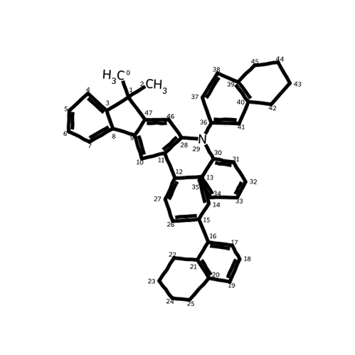 CC1(C)c2ccccc2-c2cc(-c3ccc(-c4cccc5c4CCCC5)cc3)c(N(c3ccccc3)c3ccc4c(c3)CCCC4)cc21